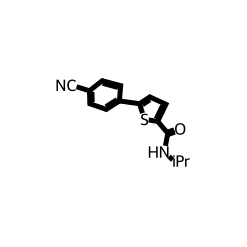 CC(C)NC(=O)c1ccc(-c2ccc(C#N)cc2)s1